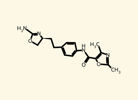 Cc1nc(C)c(C(=O)Nc2ccc(CC[C@H]3COC(N)=N3)cc2)o1